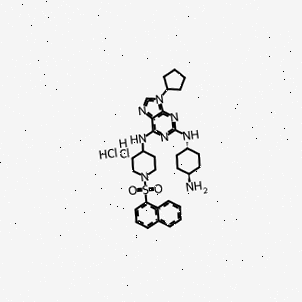 Cl.Cl.N[C@H]1CC[C@H](Nc2nc(NC3CCN(S(=O)(=O)c4cccc5ccccc45)CC3)c3ncn(C4CCCC4)c3n2)CC1